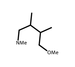 CNCC(C)C(C)COC